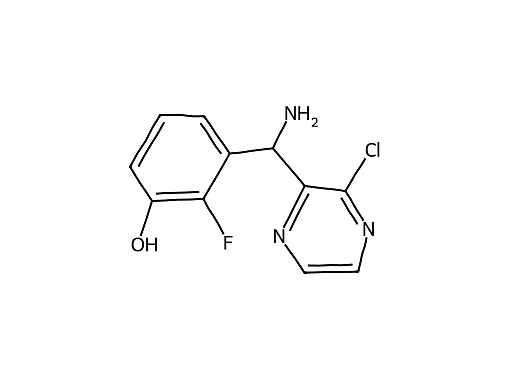 NC(c1cccc(O)c1F)c1nccnc1Cl